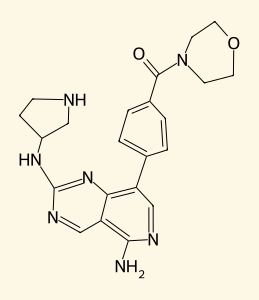 Nc1ncc(-c2ccc(C(=O)N3CCOCC3)cc2)c2nc(NC3CCNC3)ncc12